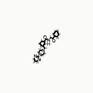 O=C(CNC(=O)c1cccc(CN2CCN(c3ncccn3)CC2)c1)c1ccccc1